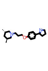 C[C@H]1C[C@H](C)CN(CCCOc2ccc(C3=NCCC3)cc2)C1